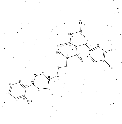 CC1=CC(c2ccc(F)c(F)c2)N(C(=O)N(O)CCCN2CCN(c3ccccc3[N+](=O)[O-])CC2)C(=O)N1